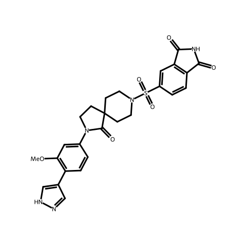 COc1cc(N2CCC3(CCN(S(=O)(=O)c4ccc5c(c4)C(=O)NC5=O)CC3)C2=O)ccc1-c1cn[nH]c1